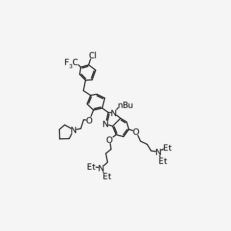 CCCCn1c(-c2ccc(Cc3ccc(Cl)c(C(F)(F)F)c3)cc2OCCN2CCCC2)nc2c(OCCCN(CC)CC)cc(OCCCN(CC)CC)cc21